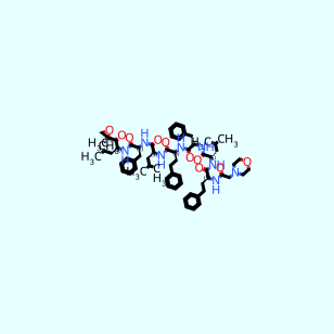 CC(C)C[C@H](NC(=O)[C@H](CCc1ccccc1)NC(=O)CN1CCOCC1)C(=O)N[C@@H](Cc1ccccc1)C(=O)N[C@@H](CCc1ccccc1)C(=O)N[C@@H](CC(C)C)C(=O)N[C@@H](Cc1ccccc1)C(=O)N[C@@H](CC(C)C)C(=O)[C@@]1(C)CO1